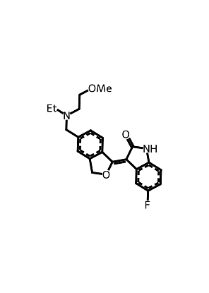 CCN(CCOC)Cc1ccc2c(c1)CO/C2=C1/C(=O)Nc2ccc(F)cc21